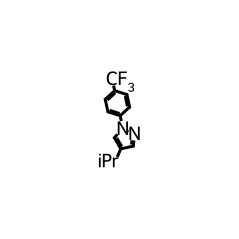 CC(C)c1cnn(-c2ccc(C(F)(F)F)cc2)c1